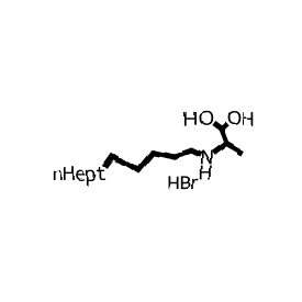 Br.CCCCCCCCCCCCNC(C)C(O)O